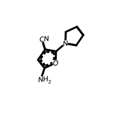 N#Cc1cc(N)oc1N1CCCC1